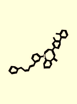 C=C1/C=C(c2ccc(-c3ccccc3C)c(C)c2)\C=C/N(c2cccc(/C=C/C=C\Cc3ccccc3)c2)c2ccccc21